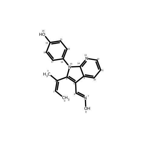 C/C=C(/C)c1c(C=NO)c2cccnc2n1-c1ccc(O)cc1